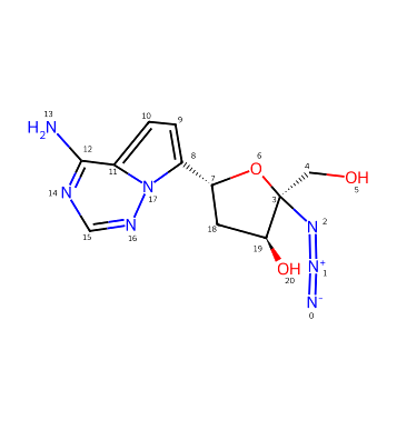 [N-]=[N+]=N[C@]1(CO)O[C@@H](c2ccc3c(N)ncnn23)C[C@@H]1O